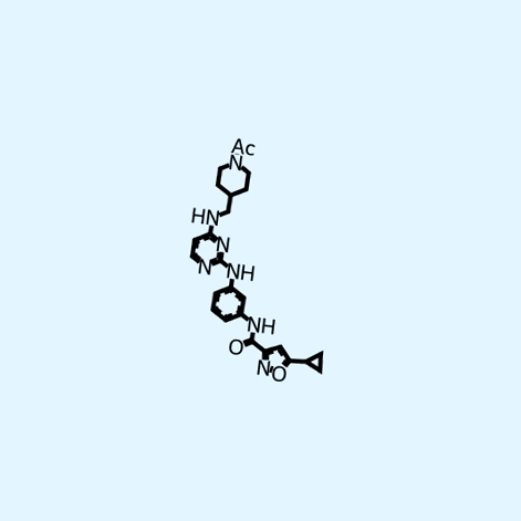 CC(=O)N1CCC(CNc2ccnc(Nc3cccc(NC(=O)c4cc(C5CC5)on4)c3)n2)CC1